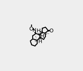 CON=C1CC2CCCC[C@]2(C)[C@H]2CC[C@]3(C)C(=O)CC[C@H]3[C@H]12